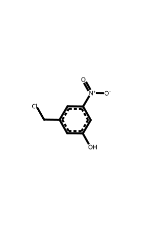 O=[N+]([O-])c1cc(O)cc(CCl)c1